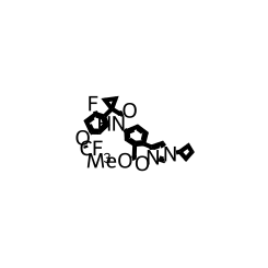 COC(=O)c1cc(NC(=O)C2(c3ccc(OC(F)(F)F)cc3F)CC2)ccc1-c1cn(C2CCC2)cn1